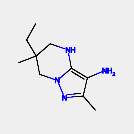 CCC1(C)CNc2c(N)c(C)nn2C1